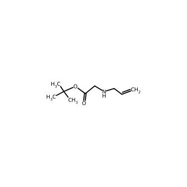 C=CCNCC(=O)OC(C)(C)C